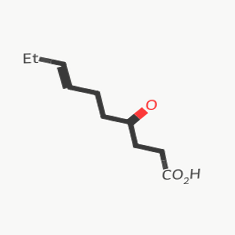 CCC=CCCC(=O)CCC(=O)O